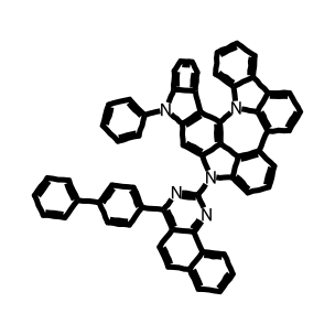 c1ccc(-c2ccc(-c3nc(-n4c5cccc6c7cccc8c9ccccc9n(c78)c7c8c9ccccc9n(-c9ccccc9)c8cc4c7c65)nc4c3ccc3ccccc34)cc2)cc1